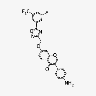 Nc1ccc(-c2coc3cc(OCc4noc(-c5cc(F)cc(C(F)(F)F)c5)n4)ccc3c2=O)cc1